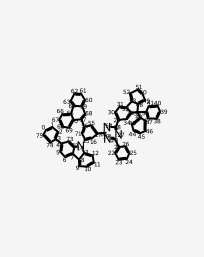 c1ccc(-c2ccc3c4ccccc4n(-c4cc(-c5nc(-c6ccccc6)nc(-c6ccc7c(c6)C(c6ccccc6)(c6ccccc6)c6ccccc6-7)n5)cc(-c5cc6ccccc6c6ccccc56)c4)c3c2)cc1